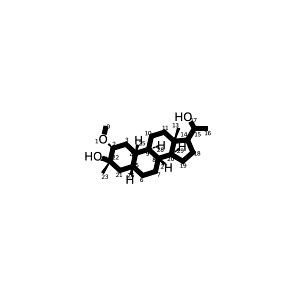 CO[C@@H]1C[C@H]2[C@H](CC[C@@H]3[C@@H]2CC[C@]2(C)C(C(C)O)CC[C@@H]32)C[C@]1(C)O